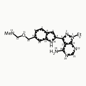 CCn1nc(-c2cc3ccc(COCNC)cc3[nH]2)c2c(N)ncnc21